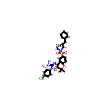 CC1(C)Oc2ccc(S(=O)(=O)N(CC#N)CCCc3ccccc3)cc2[C@@H](N=C(NC#N)Nc2ccc(Cl)cc2)[C@@H]1O